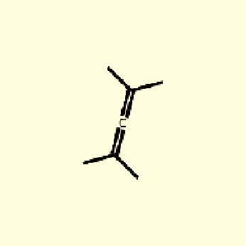 CC(C)=C=C(C)C